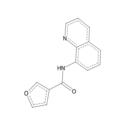 O=C(Nc1cccc2cccnc12)c1ccoc1